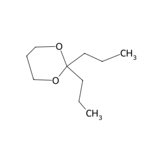 CCCC1(CCC)OCCCO1